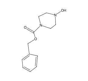 O=C(OCc1ccccc1)N1CCN(O)CC1